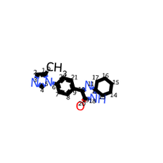 Cc1cncn1-c1ccc(C2=NC3(CCCCC3)NC2=O)cc1